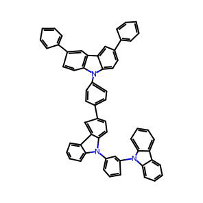 c1ccc(-c2ccc3c(c2)c2cc(-c4ccccc4)ccc2n3-c2ccc(-c3ccc4c(c3)c3ccccc3n4-c3cccc(-n4c5ccccc5c5ccccc54)c3)cc2)cc1